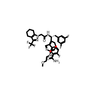 COCCNC1=C/CC/C([C@@H](Cc2cc(F)cc(F)c2)NC(=O)Cn2nc(C(F)(F)F)c3c2CCCC3)=C(c2ccc(F)c(C(N)=O)c2)/C=N\1